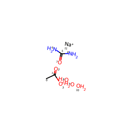 CC(=O)[O-].NC(N)=O.O.O.O.[Na+]